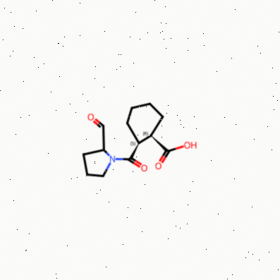 O=CC1CCCN1C(=O)[C@H]1CCCC[C@H]1C(=O)O